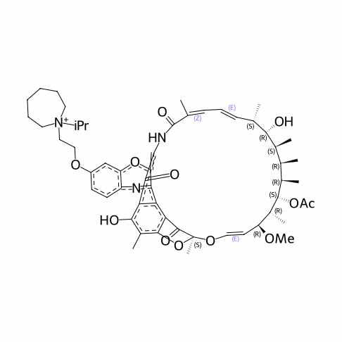 CO[C@H]1/C=C/O[C@@]2(C)Oc3c(C)c(O)c4c(=O)c(c5oc6cc(OCC[N+]7(C(C)C)CCCCCC7)ccc6nc-5c4c3C2=O)NC(=O)/C(C)=C\C=C\[C@H](C)[C@H](O)[C@@H](C)[C@@H](C)[C@@H](C)[C@H](OC(C)=O)[C@@H]1C